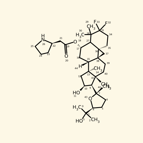 CC(C)(O)[C@@H]1CC[C@@](C)([C@H]2[C@@H](O)C[C@@]3(C)[C@@H]4C[C@H](OC(=O)C[C@H]5CCCN5)C5C(C)(C)C(F)(F)CC[C@@]56C[C@@]46CC[C@]23C)O1